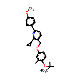 Cc1cc(OCc2ccc(-c3ccc(OC(F)(F)F)cc3)nc2C2CC2)ccc1OC(C)(C)C(=O)O